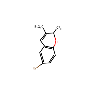 CCOC(=O)C1=Cc2cc(Br)ccc2OC1C(F)(F)F